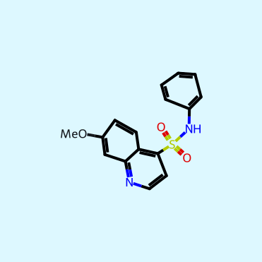 COc1ccc2c(S(=O)(=O)Nc3ccccc3)ccnc2c1